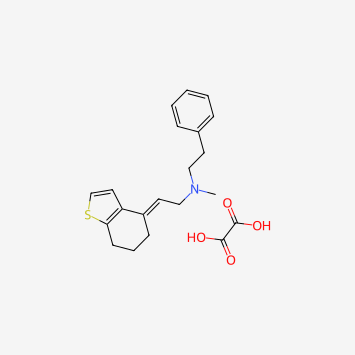 CN(C/C=C1\CCCc2sccc21)CCc1ccccc1.O=C(O)C(=O)O